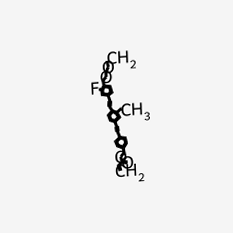 C=COCOCc1ccc(C#Cc2ccc(C#Cc3ccc(COC(=O)C=C)cc3)cc2CC)cc1F